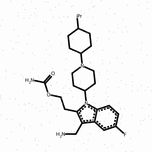 CC(C)C1CCC(N2CCC(n3c(CCOC(N)=O)c(CN)c4cc(F)ccc43)CC2)CC1